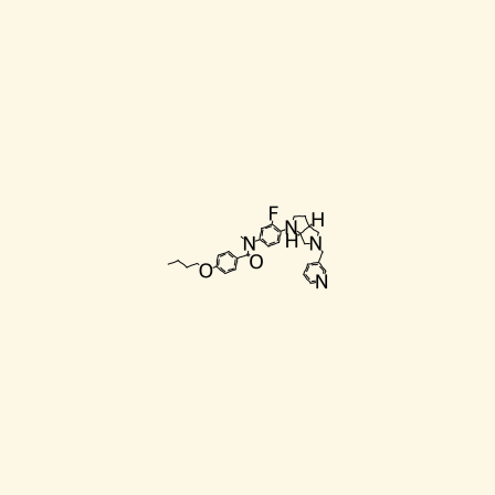 CCCCOc1ccc(C(=O)N(C)c2ccc(N3CC[C@@H]4CN(Cc5cccnc5)C[C@@H]43)c(F)c2)cc1